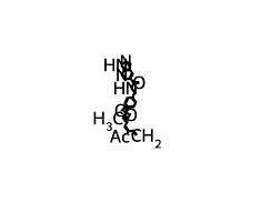 C=C/C(=C\C=C(/C)S(=O)(=O)c1ccc(CNC(=O)c2cnc3[nH]ncc3c2)cc1)C(C)=O